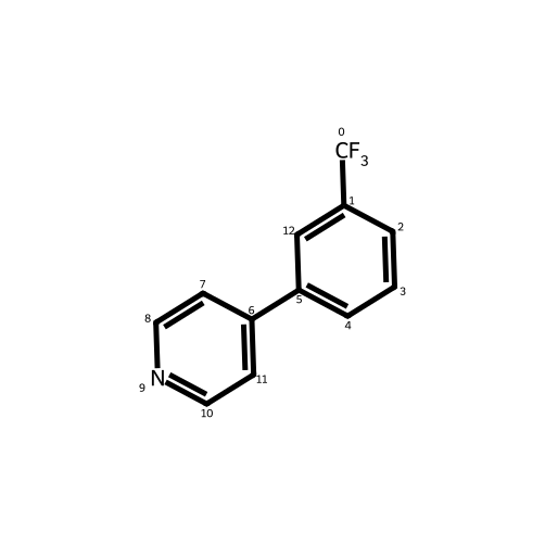 FC(F)(F)c1cccc(-c2ccncc2)c1